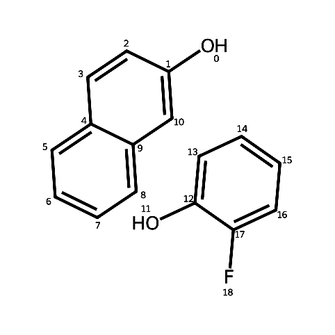 Oc1ccc2ccccc2c1.Oc1ccccc1F